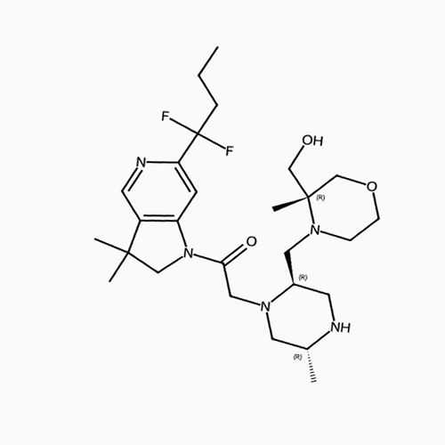 CCCC(F)(F)c1cc2c(cn1)C(C)(C)CN2C(=O)CN1C[C@@H](C)NC[C@@H]1CN1CCOC[C@@]1(C)CO